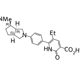 CCc1cc(C(=O)O)c(=O)[nH]c1-c1ccc(N2C[C@H]3CC[C@@H](NC)[C@H]3C2)cc1